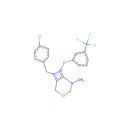 CN1COCc2c1n(Oc1cccc(C(F)(F)F)c1)n2Cc1ccc(Cl)cc1